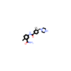 Cc1ccc(NC(=O)c2ccc(CN3CCNCC3)c(C(F)(F)F)c2)cc1C(N)=O